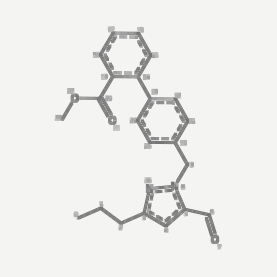 CCCc1cc(C=O)n(Cc2ccc(-c3ccccc3C(=O)OC)cc2)n1